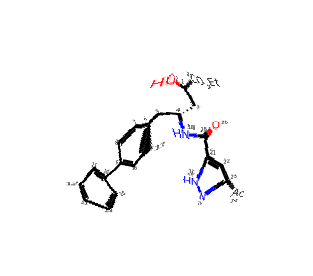 CCOC(=O)C(O)C[C@@H](Cc1ccc(-c2ccccc2)cc1)NC(=O)c1cc(C(C)=O)n[nH]1